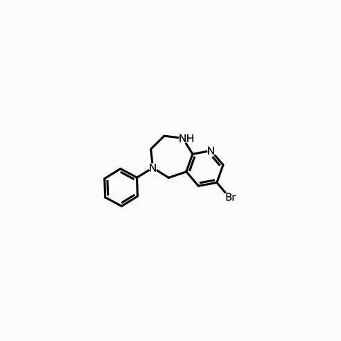 Brc1cnc2c(c1)CN(c1ccccc1)CCN2